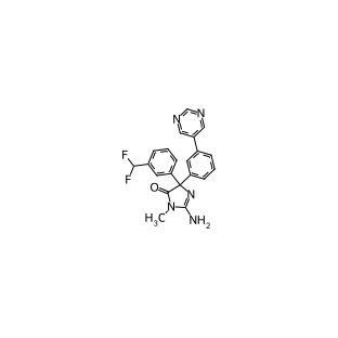 CN1C(=O)C(c2cccc(-c3cncnc3)c2)(c2cccc(C(F)F)c2)N=C1N